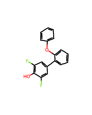 Oc1c(F)cc(-c2ccccc2Oc2ccccc2)cc1F